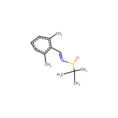 Cc1cccc(C)c1C=N[S+]([O-])C(C)(C)C